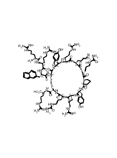 N=C(N)NCCC[C@H](NC(=O)[C@@H]1CSSC[C@H](NC(=O)[C@H](Cc2ccc3ccccc3c2)NC(=O)[C@H](CCCNC(=N)N)NC(=O)[C@@H](N)CCCNC(=N)N)C(=O)N[C@@H](Cc2ccc(O)cc2)C(=O)N[C@@H](CCCNC(N)=O)C(=O)N[C@@H](CCCCN)C(=O)N[C@H](CCCNC(N)=O)C(=O)N2CCC[C@H]2C(=O)N[C@@H](Cc2ccc(O)cc2)C(=O)N[C@@H](CCCNC(=N)N)C(=O)N[C@@H](CCCNC(N)=O)C(=O)N1)C(=O)O